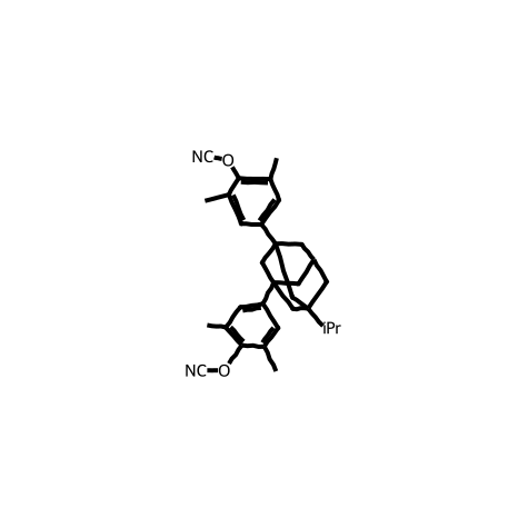 Cc1cc(C23CC4CC(c5cc(C)c(OC#N)c(C)c5)(C2)CC(C(C)C)(C4)C3)cc(C)c1OC#N